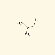 CCCC(C)[SiH2]